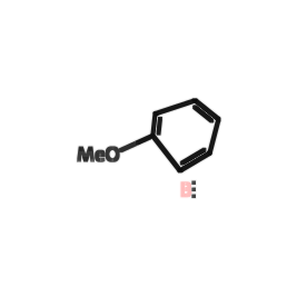 COc1ccccc1.[B]